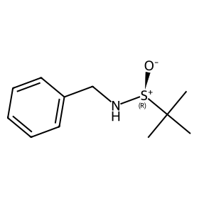 CC(C)(C)[S@+]([O-])NCc1ccccc1